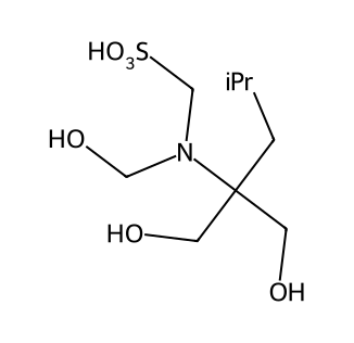 CC(C)CC(CO)(CO)N(CO)CS(=O)(=O)O